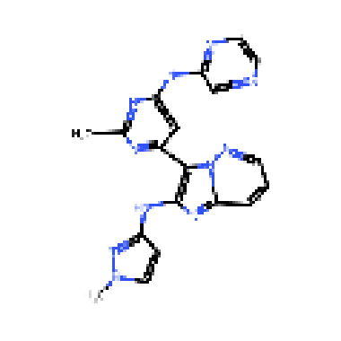 Cc1nc(Nc2cnccn2)cc(-c2c(Nc3ccn(C)n3)nc3cccnn23)n1